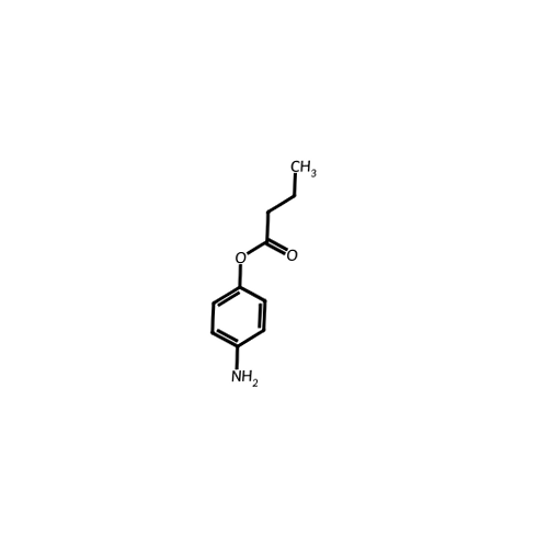 CCCC(=O)Oc1ccc(N)cc1